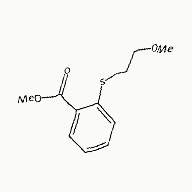 COCCSc1ccccc1C(=O)OC